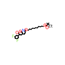 CCC(C)(C)C(=O)OCCCCCCCCCCCOc1ccc2cc(-c3cc(F)cc(F)c3)c(=O)oc2n1